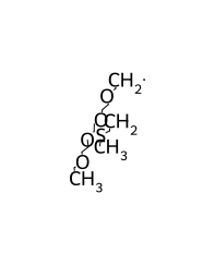 [CH2]COCCOCCOCCOCC.[CH2]CSC